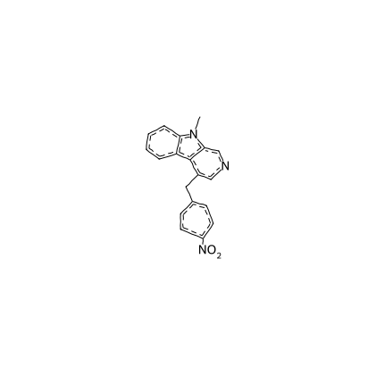 Cn1c2ccccc2c2c(Cc3ccc([N+](=O)[O-])cc3)cncc21